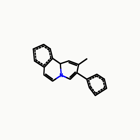 CC1=CC2c3ccccc3C=CN2C=C1c1ccccc1